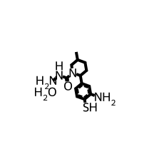 CC1CCC(c2ccc(S)c(N)c2)N(C(=O)NN)C1.O